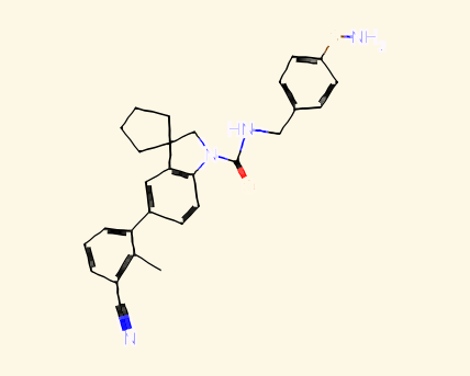 Cc1c(C#N)cccc1-c1ccc2c(c1)C1(CCCC1)CN2C(=O)NCc1ccc(SN)cc1